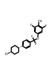 CC[C@H]1CC[C@H](c2ccc(C(F)(F)Oc3cc(F)c(C#N)c(F)c3)cc2)CC1